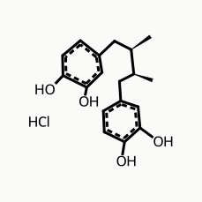 C[C@H](Cc1ccc(O)c(O)c1)[C@@H](C)Cc1ccc(O)c(O)c1.Cl